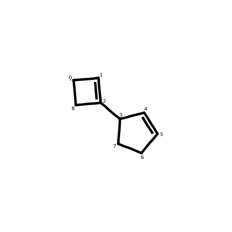 [CH]1C=C(C2C=CCC2)C1